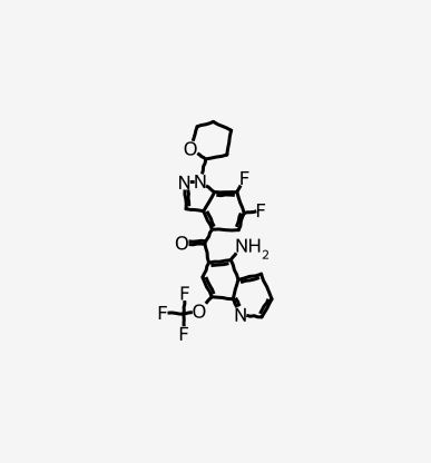 Nc1c(C(=O)c2cc(F)c(F)c3c2cnn3C2CCCCO2)cc(OC(F)(F)F)c2ncccc12